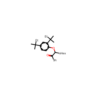 CCCCCCC(Oc1ccc(C(C)(C)CC)cc1C(C)(C)CC)C(=O)C(C)C